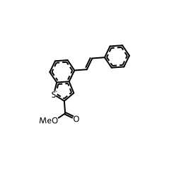 COC(=O)c1cc2c(/C=C/c3ccccc3)cccc2s1